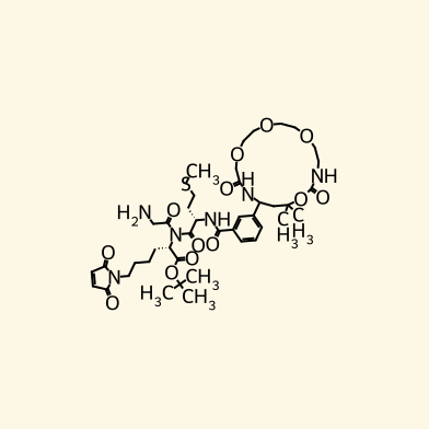 CSCC[C@H](NC(=O)c1cccc(C2CC(C)(C)OC(=O)NCCOCCOCCOCC(=O)N2)c1)C(=O)N(C(=O)CN)[C@@H](CCCCN1C(=O)C=CC1=O)C(=O)OC(C)(C)C